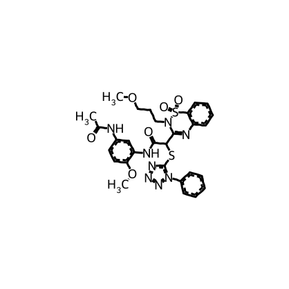 COCCCN1C(C(Sc2nnnn2-c2ccccc2)C(=O)Nc2cc(NC(C)=O)ccc2OC)=Nc2ccccc2S1(=O)=O